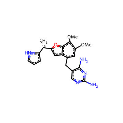 COc1cc(Cc2cnc(N)nc2N)c2cc([C@@H](C)c3ccc[nH]3)oc2c1OC